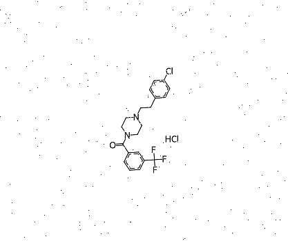 Cl.O=C(c1cccc(C(F)(F)F)c1)N1CCN(CCc2ccc(Cl)cc2)CC1